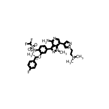 C[C@H](Oc1cc(-c2nn(C)c3c(-c4cnn(CCN(C)C)c4)cnc(N)c23)ccc1NS(=O)(=O)C(F)F)c1ccc(F)cc1